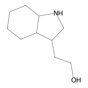 OCCC1CNC2CCCCC12